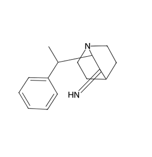 CC(c1ccccc1)C1C(=N)C2CCN1CC2